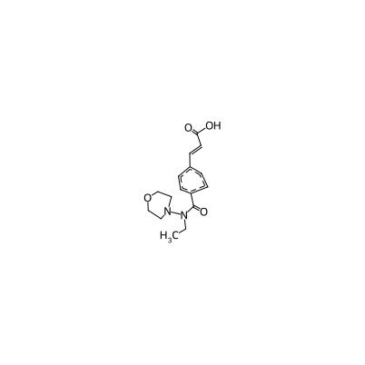 CCN(C(=O)c1ccc(C=CC(=O)O)cc1)N1CCOCC1